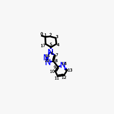 CC1CCCC(n2cc(-c3ccccn3)nn2)C1